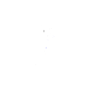 O=C(CC1CCCCCC1)N[C@H](Cc1nc2ccc(Cl)cc2[nH]1)C(=O)O